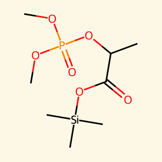 COP(=O)(OC)OC(C)C(=O)O[Si](C)(C)C